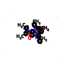 Cc1ccc2c(c1)c1cc(C)ccc1n2-c1cc(-n2c3ccc(C)cc3c3cc(C)ccc32)c2oc(=O)cc(-c3nc(-c4ccccc4)nc(-c4ccccc4)n3)c2c1-n1c2ccc(C)cc2c2cc(C)ccc21